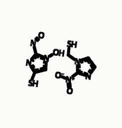 O=Nc1nc(S)cn1O.O=[N+]([O-])c1nccn1CS